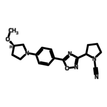 CO[C@@H]1CCN(c2ccc(-c3nc(C4CCCN4C#N)no3)cc2)C1